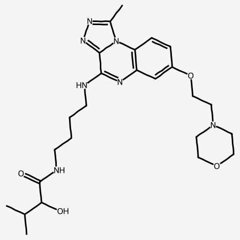 Cc1nnc2c(NCCCCNC(=O)C(O)C(C)C)nc3cc(OCCN4CCOCC4)ccc3n12